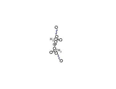 Cc1cc(/C=C/C=C/c2ccccc2)ccc1N(c1ccccc1)c1ccc(-c2cc3cc(N(c4ccccc4)c4ccc(/C=C/C=C/c5ccccc5)cc4C)ccc3o2)cc1